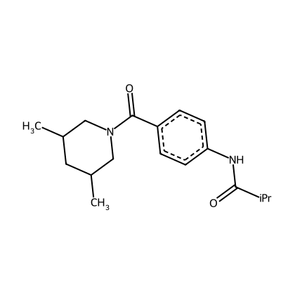 CC1CC(C)CN(C(=O)c2ccc(NC(=O)C(C)C)cc2)C1